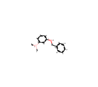 CB(C)c1cccc(OCc2ccccc2)c1